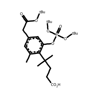 Cc1cc(CC(=O)OC(C)(C)C)cc(OP(=O)(OC(C)(C)C)OC(C)(C)C)c1C(C)(C)CCC(=O)O